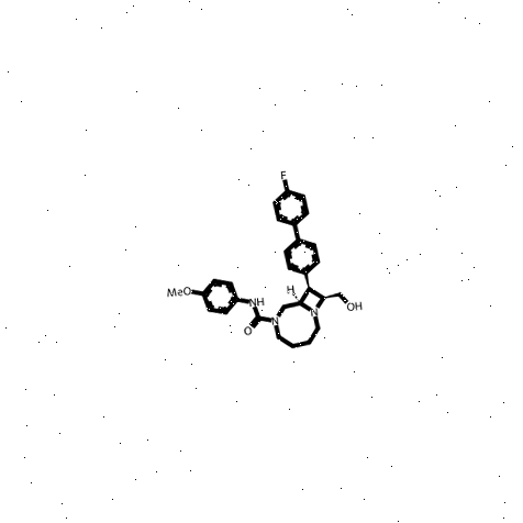 COc1ccc(NC(=O)N2CCCCN3[C@H](CO)[C@H](c4ccc(-c5ccc(F)cc5)cc4)[C@@H]3C2)cc1